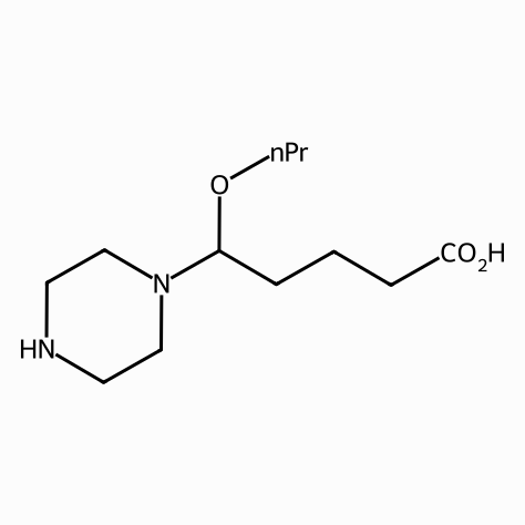 CCCOC(CCCC(=O)O)N1CCNCC1